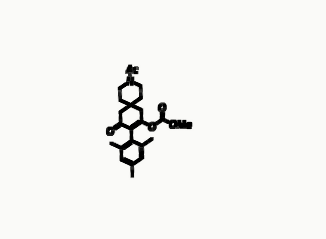 COC(=O)OC1=C(c2c(C)cc(C)cc2C)C(=O)CC2(CCN(C(C)=O)CC2)C1